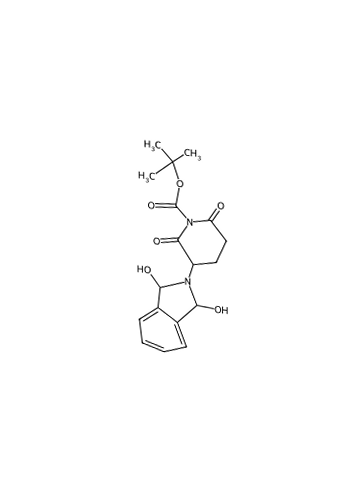 CC(C)(C)OC(=O)N1C(=O)CCC(N2C(O)c3ccccc3C2O)C1=O